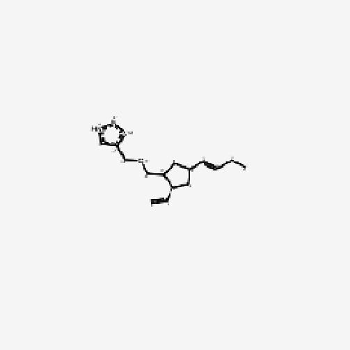 C=C[C@@H]1CC(/C=C/CC)CC1COCc1c[nH]nn1